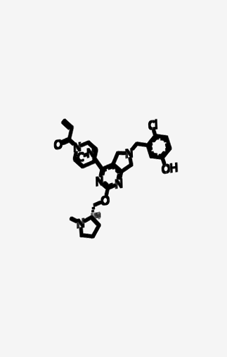 C=CC(=O)N1CC2CCC1CN2c1nc(OC[C@@H]2CCCN2C)nc2c1CN(Cc1cc(O)ccc1Cl)C2